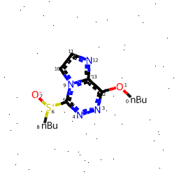 CCCCOc1nnc([S+]([O-])CCCC)n2ccnc12